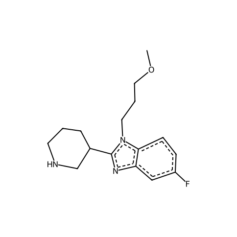 COCCCn1c(C2CCCNC2)nc2cc(F)ccc21